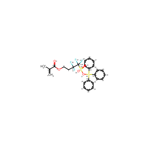 C=C(C)C(=O)OCCC(F)(F)C(F)(F)S(=O)(=O)OS(c1ccccc1)(c1ccccc1)c1ccccc1